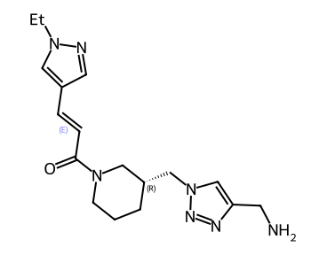 CCn1cc(/C=C/C(=O)N2CCC[C@@H](Cn3cc(CN)nn3)C2)cn1